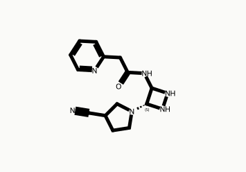 N#CC1CCN([C@H]2NNC2NC(=O)Cc2ccccn2)C1